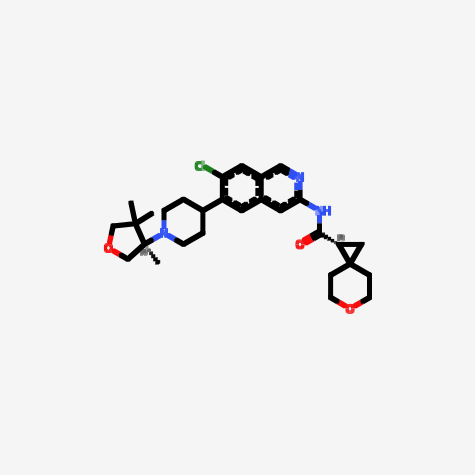 CC1(C)COC[C@]1(C)N1CCC(c2cc3cc(NC(=O)[C@@H]4CC45CCOCC5)ncc3cc2Cl)CC1